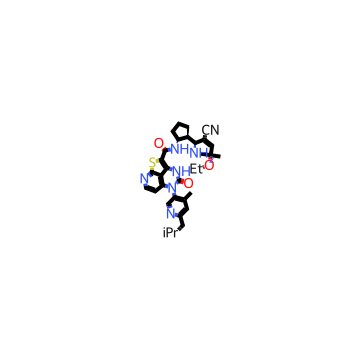 CCOC(C)(C)/C=C(/C#N)[C@@H](N)[C@@H]1CCC[C@H]1NC(=O)c1sc2nccc3c2c1NC(=O)N3c1cnc(CC(C)C)cc1C